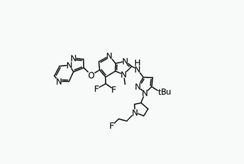 Cn1c(Nc2cc(C(C)(C)C)n(C3CCN(CCF)C3)n2)nc2ncc(Oc3cnn4ccncc34)c(C(F)F)c21